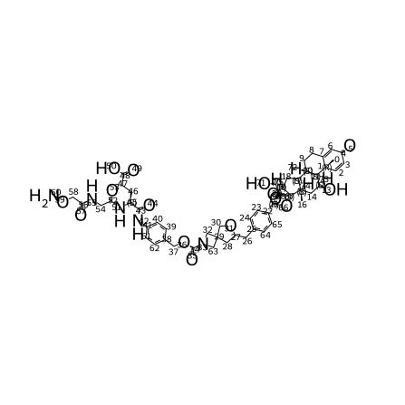 C[C@]12C=CC(=O)C=C1CC[C@@H]1[C@@H]2[C@@H](O)C[C@@]2(C)[C@H]1C[C@H]1O[C@@H](c3ccc(CC4CC5(CO4)CN(C(=O)OCc4ccc(NC(=O)[C@H](CCC(=O)O)NC(=O)CNC(=O)CON)cc4)C5)cc3)O[C@]12C(=O)CO